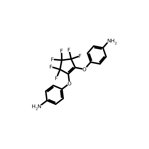 Nc1ccc(OC2=C(Oc3ccc(N)cc3)C(F)(F)C(F)(F)C2(F)F)cc1